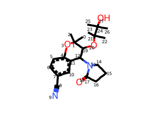 CC1(C)Oc2ccc(C#N)cc2C(N2CCCC2=O)C1OC(C)(C)C(C)(C)O